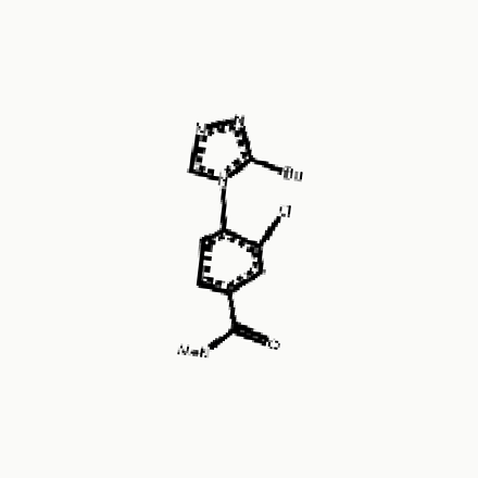 CCC(C)c1nncn1-c1ccc(C(=O)NC)cc1Cl